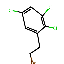 Clc1cc(Cl)c(Cl)c(CCBr)c1